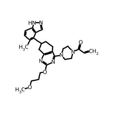 C=CC(=O)N1CCN(c2nc(OCCCOC)nc3c2CCC(c2c(C)ccc4[nH]ncc24)C3)CC1